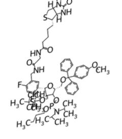 CCCCOP(OC1[C@@H](COC(c2ccccc2)(c2ccccc2)c2ccc(OC)cc2)O[C@@H](c2cc(CNC(=O)CNC(=O)CCCC[C@@H]3SC[C@@H]4NC(=O)N[C@@H]43)c(F)cc2F)[C@H]1O[Si](C)(C)C(C)(C)C)N(C(C)C)C(C)C